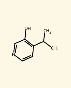 CC(C)c1ccncc1O